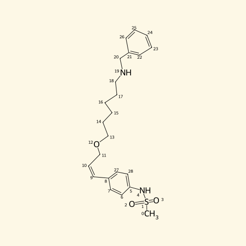 CS(=O)(=O)Nc1ccc(/C=C\COCCCCCCNCc2ccccc2)cc1